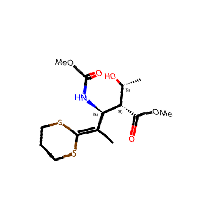 COC(=O)N[C@H](C(C)=C1SCCCS1)[C@@H](C(=O)OC)[C@@H](C)O